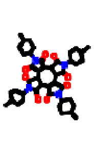 CC1CCC(N2C(=O)C3C(C2=O)C2C(=O)N(C4CCC(C)CC4)C(=O)C2C2C(=O)N(C4CCC(C)CC4)C(=O)C2C2C(=O)N(C4CCC(C)CC4)C(=O)C32)CC1